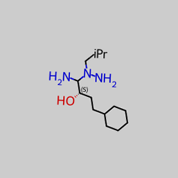 CC(C)CN(N)C(N)[C@@H](O)CCC1CCCCC1